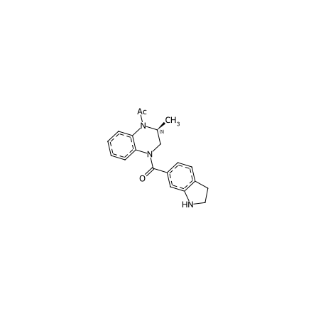 CC(=O)N1c2ccccc2N(C(=O)c2ccc3c(c2)NCC3)C[C@@H]1C